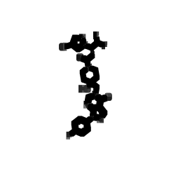 O=C(C[C@@H](C(F)F)n1cc(Cl)cn1)N1CCC(O)(Cn2cnc3c(cnn3-c3ccc(F)cc3)c2=O)CC1